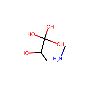 CC(O)C(O)(O)O.CN